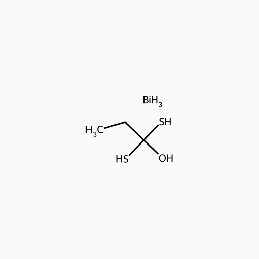 CCC(O)(S)S.[BiH3]